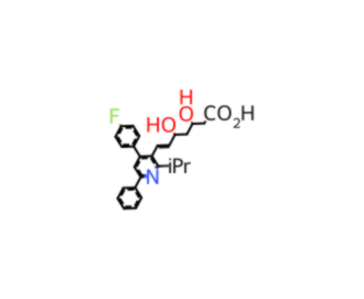 CC(C)c1nc(-c2ccccc2)cc(-c2ccc(F)cc2)c1/C=C/[C@@H](O)CC(O)CC(=O)O